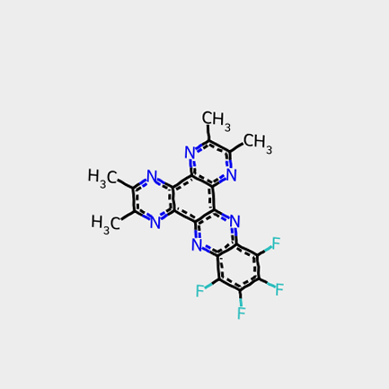 Cc1nc2c3nc(C)c(C)nc3c3nc4c(F)c(F)c(F)c(F)c4nc3c2nc1C